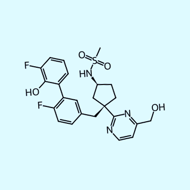 CS(=O)(=O)N[C@H]1CC[C@](Cc2ccc(F)c(-c3cccc(F)c3O)c2)(c2nccc(CO)n2)C1